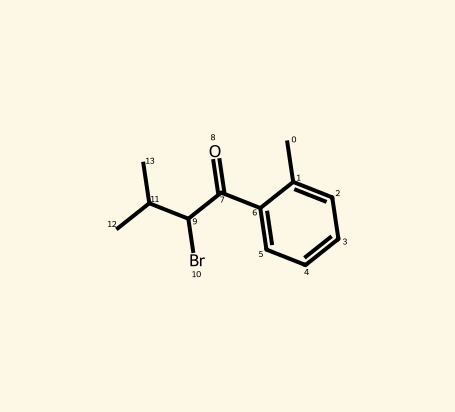 Cc1ccccc1C(=O)C(Br)C(C)C